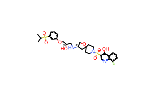 CC(C)S(=O)(=O)c1cccc(OC[C@@H](O)CN[C@H]2COC3(CCN(S(=O)(=O)c4cnc5c(F)cccc5c4O)CC3)C2)c1